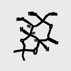 CCCCC1(CCCC)OC(=O)[C@@H]2OC(C)(C)O[C@@H]2[C@H]1OC